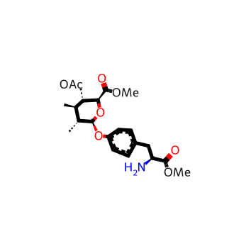 COC(=O)[C@H]1O[C@@H](Oc2ccc(C[C@H](N)C(=O)OC)cc2)[C@H](C)[C@@H](C)[C@@H]1OC(C)=O